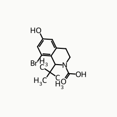 CC(C)(C)C1c2c(Br)cc(O)cc2CCN1C(=O)O